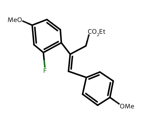 CCOC(=O)C/C(=C\c1ccc(OC)cc1)c1ccc(OC)cc1F